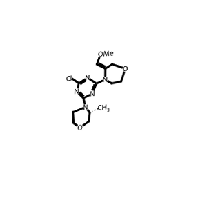 CO/C=C1\COCCN1c1nc(Cl)nc(N2CCOC[C@H]2C)n1